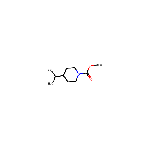 CC(C)C(C)C1CCN(C(=O)OC(C)(C)C)CC1